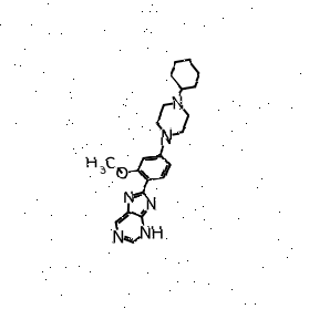 COc1cc(N2CCN(C3CCCCC3)CC2)ccc1-c1nc2cnc[nH]c-2n1